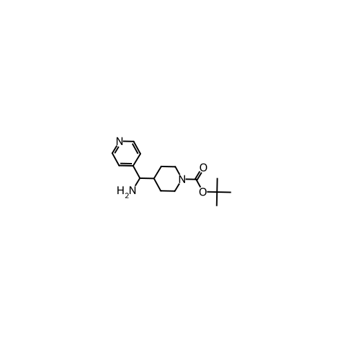 CC(C)(C)OC(=O)N1CCC(C(N)c2ccncc2)CC1